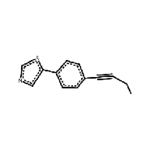 CCC#Cc1ccc(-c2cncs2)cc1